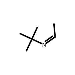 C/C=N\C(C)(C)C